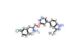 Cc1n[nH]c2ccc(-c3cncc(OC[C@@H](N)Cc4cc(Cl)ccc4Cl)c3)cc12